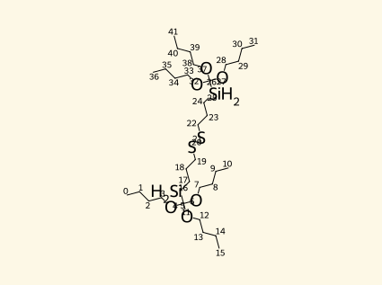 CCCCOC(OCCCC)(OCCCC)[SiH2]CCCSSCCC[SiH2]C(OCCCC)(OCCCC)OCCCC